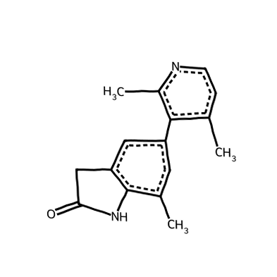 Cc1cc(-c2c(C)ccnc2C)cc2c1NC(=O)C2